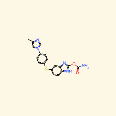 Cc1cn(-c2ccc(Sc3ccc4[nH]c(OC(N)=O)nc4c3)cc2)cn1